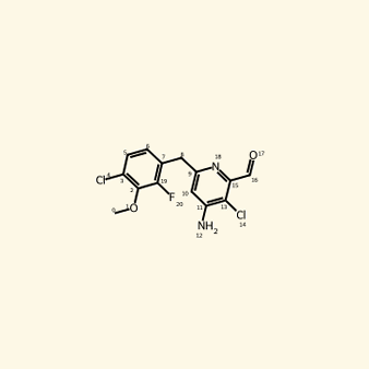 COc1c(Cl)ccc(Cc2cc(N)c(Cl)c(C=O)n2)c1F